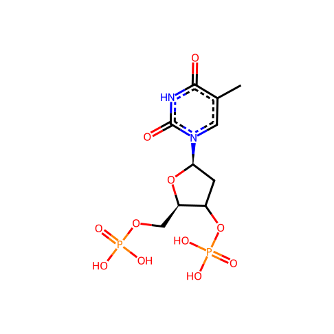 Cc1cn([C@H]2CC(OP(=O)(O)O)[C@@H](COP(=O)(O)O)O2)c(=O)[nH]c1=O